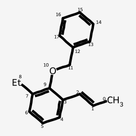 C/C=C/c1cccc(CC)c1OCc1ccccc1